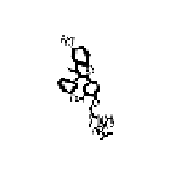 CC1=C(c2cccc(O)c2)C(c2ccc(OC[C@H](C)NS(=O)(=O)C(C)C)cc2)Oc2ccc(O)cc21